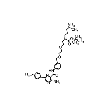 Cc1ccc(-c2cnc(N)c(C(=O)Nc3cccc(COCCOCCN(CCCN(C)C)C(=O)OC(C)(C)C)c3)n2)cc1